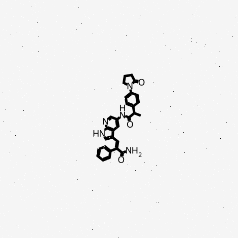 CC(C(=O)Nc1cnc2[nH]cc(/C=C(/C(N)=O)c3ccccc3)c2c1)c1ccc(N2CCCC2=O)cc1